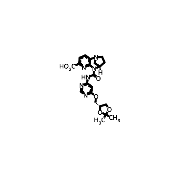 CC1(C)OC[C@@H](COc2cc(NC(=O)N3c4nc(C(=O)O)ccc4N4CC[C@H]3C4)ncn2)O1